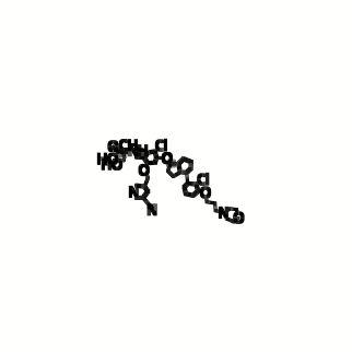 C[C@@](CO)(NCc1cc(Cl)c(O[C@H]2CCc3c(-c4cccc(OCCCN5CCOCC5)c4Cl)cccc32)cc1OCc1cncc(C#N)c1)C(=O)O